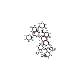 CC1(C)c2ccccc2C2(c3ccccc3-c3cc(-c4cccc(N(c5ccccc5-c5ccccc5)c5ccc(-c6ccccc6)cc5-c5ccccc5)c4)ccc32)c2ccccc21